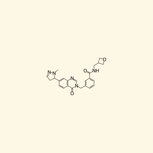 CN1N=CCC1c1ccc2c(=O)n(Cc3cccc(C(=O)NCC4COC4)c3)cnc2c1